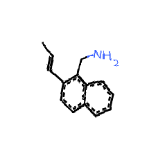 CC=Cc1ccc2ccccc2c1CN